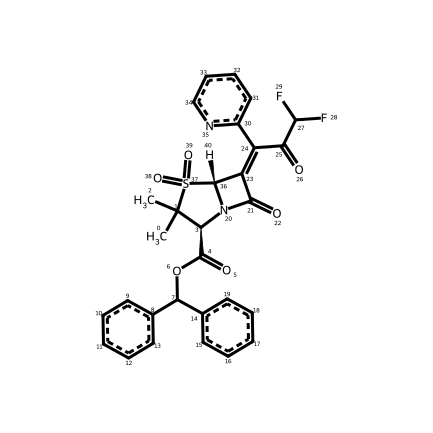 CC1(C)[C@H](C(=O)OC(c2ccccc2)c2ccccc2)N2C(=O)/C(=C(\C(=O)C(F)F)c3ccccn3)[C@H]2S1(=O)=O